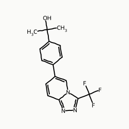 CC(C)(O)c1ccc(-c2ccc3nnc(C(F)(F)F)n3c2)cc1